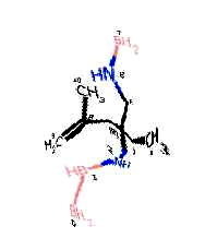 BBN[C@@](C)(CNB)C(=C)C